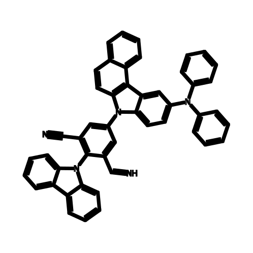 N#Cc1cc(-n2c3ccc(N(c4ccccc4)c4ccccc4)cc3c3c4ccccc4ccc32)cc(C=N)c1-n1c2ccccc2c2ccccc21